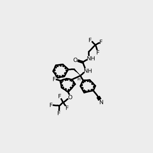 N#Cc1ccc([C@@](Cc2ccccc2)(NC(=O)NCC(F)(F)F)c2cc(F)cc(OC(F)(F)C(F)F)c2)cc1